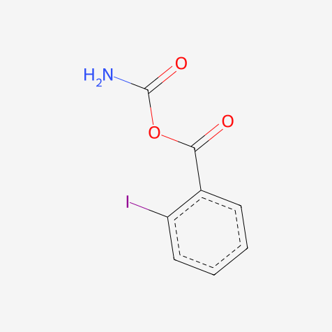 NC(=O)OC(=O)c1ccccc1I